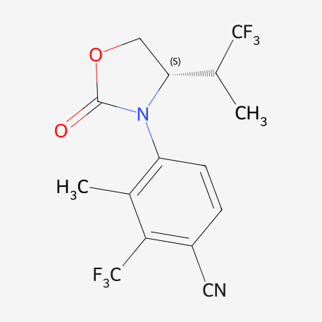 Cc1c(N2C(=O)OC[C@@H]2C(C)C(F)(F)F)ccc(C#N)c1C(F)(F)F